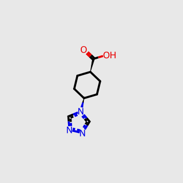 O=C(O)[C@H]1CC[C@@H](n2cnnc2)CC1